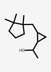 CC(O)C1CC1CC1(C)CCCC1(C)C